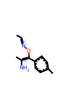 C/C=N/O/C(=C(\C)N)c1ccc(C)cc1